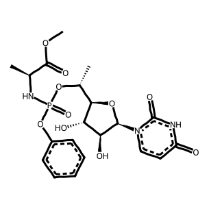 COC(=O)[C@H](C)NP(=O)(Oc1ccccc1)O[C@H](C)[C@H]1O[C@@H](n2ccc(=O)[nH]c2=O)[C@@H](O)[C@@H]1O